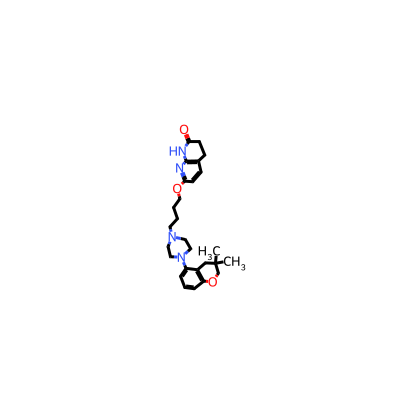 CC1(C)COc2cccc(N3CCN(CCCCOc4ccc5c(n4)NC(=O)CC5)CC3)c2C1